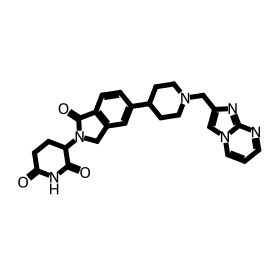 O=C1CCC(N2Cc3cc(C4CCN(Cc5cn6cccnc6n5)CC4)ccc3C2=O)C(=O)N1